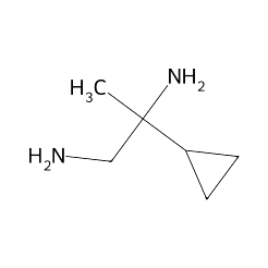 CC(N)(CN)C1CC1